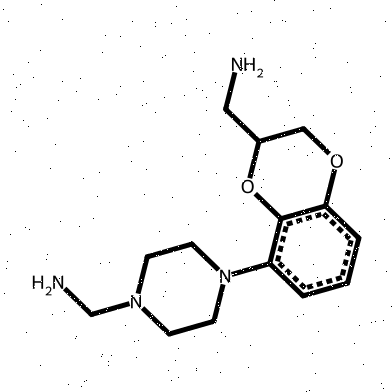 NCC1COc2cccc(N3CCN(CN)CC3)c2O1